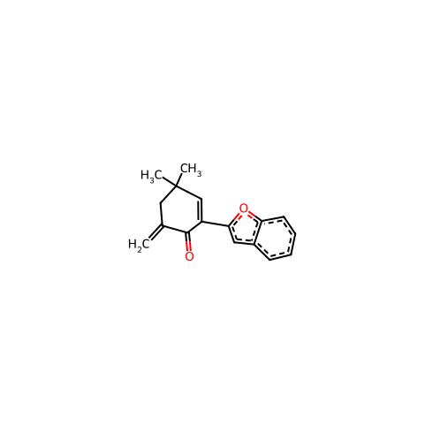 C=C1CC(C)(C)C=C(c2cc3ccccc3o2)C1=O